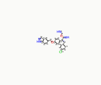 N=COC(=N)/C(=C/c1ccc(Cl)cc1)c1ccc(OCc2ccc3[nH]ncc3c2)cc1